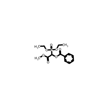 CCOP(=O)(OCC)C(OC(=O)c1ccccc1)C(=O)OC